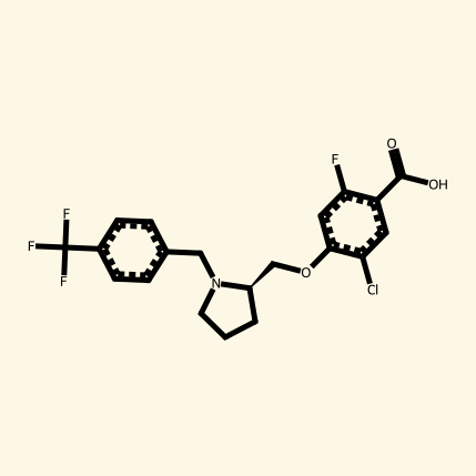 O=C(O)c1cc(Cl)c(OC[C@H]2CCCN2Cc2ccc(C(F)(F)F)cc2)cc1F